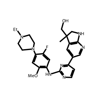 CCN1CCN(c2cc(OC)c(Nc3nccc(-c4cnc5c(c4)C(C)(CO)CN5)n3)cc2F)CC1